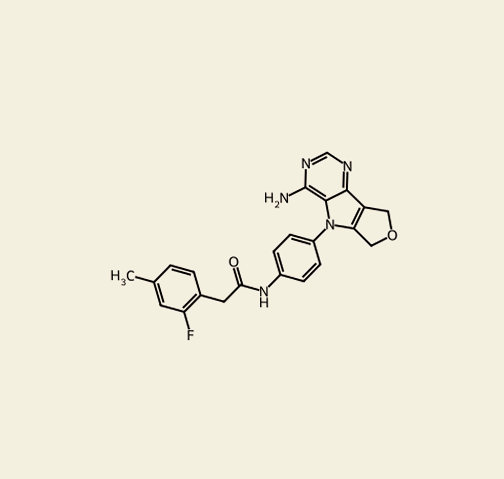 Cc1ccc(CC(=O)Nc2ccc(-n3c4c(c5ncnc(N)c53)COC4)cc2)c(F)c1